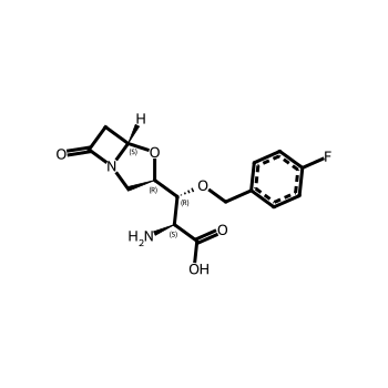 N[C@H](C(=O)O)[C@@H](OCc1ccc(F)cc1)[C@H]1CN2C(=O)C[C@@H]2O1